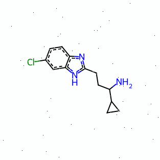 NC(CCc1nc2ccc(Cl)cc2[nH]1)C1CC1